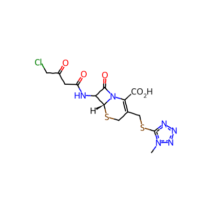 Cn1nnnc1SCC1=C(C(=O)O)N2C(=O)C(NC(=O)CC(=O)CCl)[C@H]2SC1